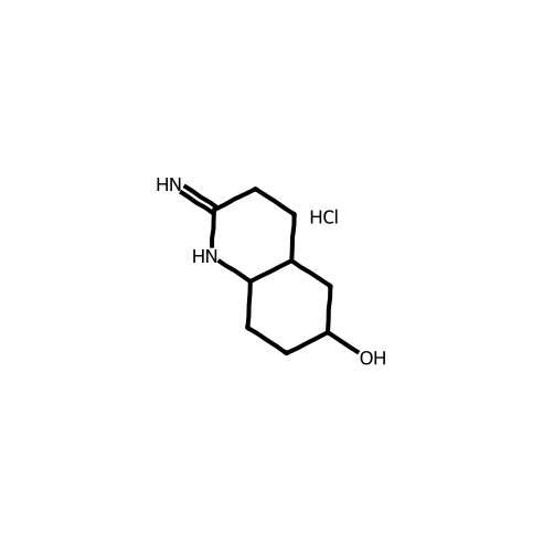 Cl.N=C1CCC2CC(O)CCC2N1